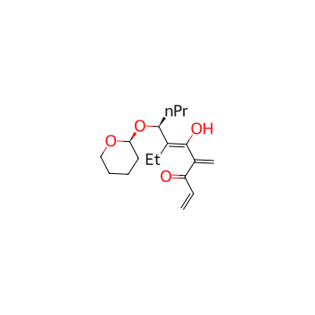 C=CC(=O)C(=C)/C(O)=C(\CC)[C@H](CCC)O[C@H]1CCCCO1